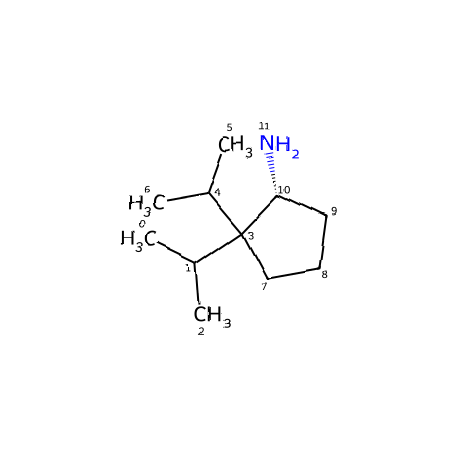 CC(C)C1(C(C)C)CCC[C@H]1N